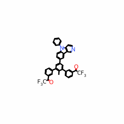 Cc1c(-c2cccc(C(=O)C(F)(F)F)c2)cc(-c2ccc3c(c2)c2cnccc2n3-c2ccccc2)cc1-c1cccc(C(=O)C(F)(F)F)c1